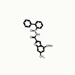 COc1cc(C)cc2oc(C(=O)N[S+]([O-])c3ccccc3-c3ccccc3)cc12